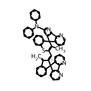 C=C1/C(=C\C2=C(C)C3(c4ccccc4S2)c2cccnc2-c2ncc(N(c4ccccc4)c4ccccc4)cc23)C2(c3ccccc31)c1cccnc1-c1ncccc12